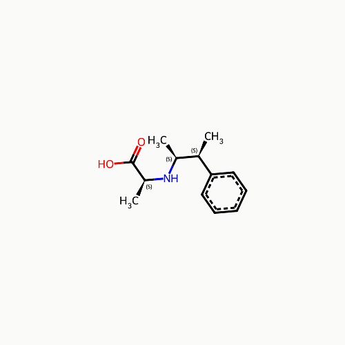 C[C@H](N[C@@H](C)[C@@H](C)c1ccccc1)C(=O)O